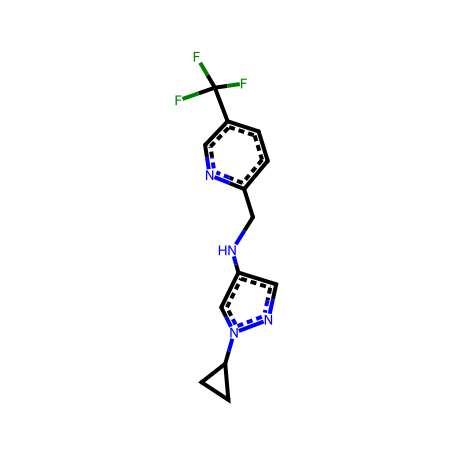 FC(F)(F)c1ccc(CNc2cnn(C3CC3)c2)nc1